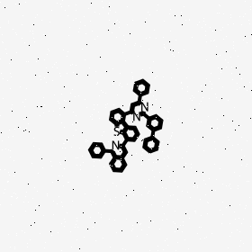 c1ccc(-c2cccc(-c3nc(-c4ccccc4)cc(-c4cccc5sc6c(-c7cc8ccccc8c(-c8ccccc8)n7)cccc6c45)n3)c2)cc1